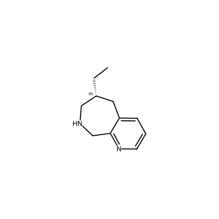 CC[C@H]1CNCc2ncccc2C1